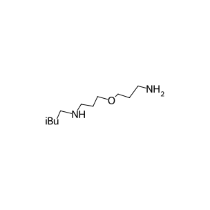 CCC(C)CNCCCOCCCN